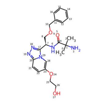 CC(C)(N)C(=O)N[C@H](COCc1ccccc1)c1nnc2ccc(OCCO)cn12